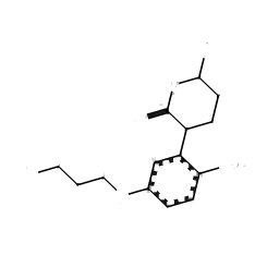 COc1ccc(OCCCC(=O)O)cc1C1CCC(O)NC1=O